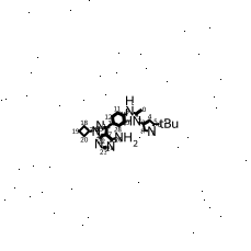 C=C(NC1=CC(C(C)(C)C)=NC1)Nc1ccc(-c2nn(C3CCC3)c3ncnc(N)c23)cc1